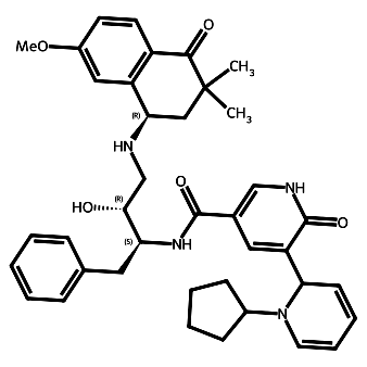 COc1ccc2c(c1)[C@H](NC[C@@H](O)[C@H](Cc1ccccc1)NC(=O)c1c[nH]c(=O)c(C3C=CC=CN3C3CCCC3)c1)CC(C)(C)C2=O